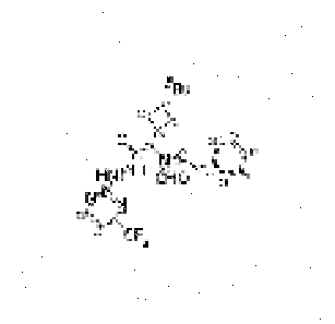 CCCCC1CC(C(C(=O)NNc2nccc(C(F)(F)F)n2)N(C=O)OCc2ccccc2)C1